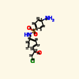 Nc1ccc(S(=O)(=O)Nc2ccc(C(=O)CCl)cc2)cc1